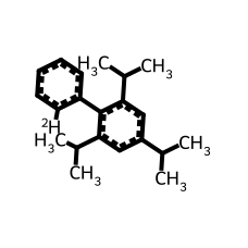 [2H]c1ccccc1-c1c(C(C)C)cc(C(C)C)cc1C(C)C